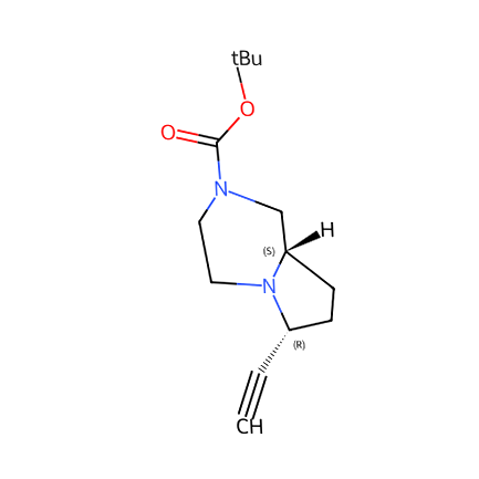 C#C[C@H]1CC[C@H]2CN(C(=O)OC(C)(C)C)CCN21